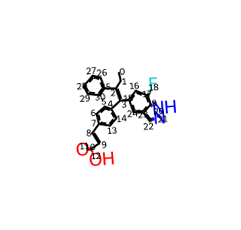 CC/C(=C(/c1ccc(/C=C/C(=O)O)cc1)c1cc(F)c2[nH]ncc2c1)c1ccccc1